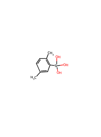 Cc1ccc(C)c([Si](O)(O)O)c1